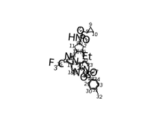 CC[C@@H]1C[C@H](NS(=O)(=O)C2CC2)C[C@@H]1c1nc(C(F)(F)F)c2cnc3c(ccn3S(=O)(=O)c3ccc(C)cc3)n12